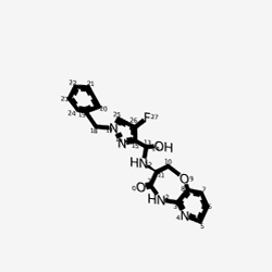 O=C1Nc2ncccc2OC[C@@H]1NC(O)c1nn(Cc2ccccc2)cc1F